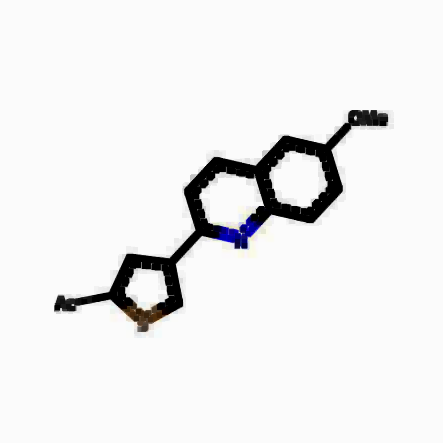 COc1ccc2nc(-c3csc(C(C)=O)c3)ccc2c1